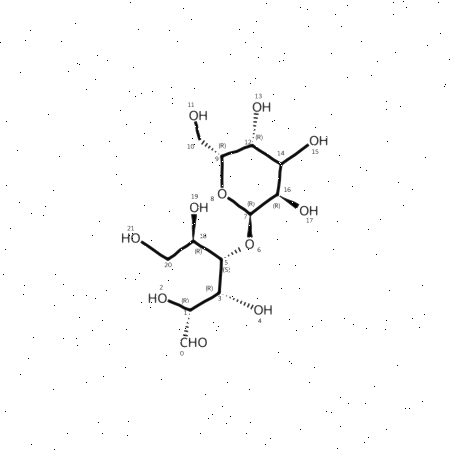 O=C[C@H](O)[C@@H](O)[C@@H](O[C@H]1O[C@H](CO)[C@H](O)C(O)[C@H]1O)[C@H](O)CO